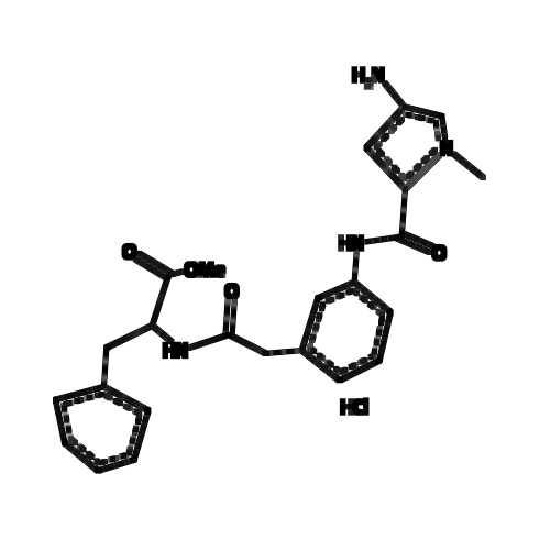 COC(=O)C(Cc1ccccc1)NC(=O)Cc1cccc(NC(=O)c2cc(N)cn2C)c1.Cl